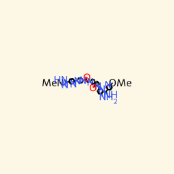 CN/C=N\C(=N)c1ccc(N2CCN(C(=O)CN3CC[C@]4(CCN(c5ccc(N)c(C(=N)c6ccc(OC)nc6)n5)C4=O)C3)CC2)nc1